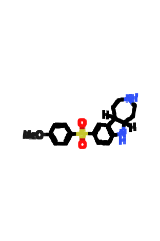 COc1ccc(S(=O)(=O)c2ccc3c(c2)[C@@H]2CCNCC[C@@H]2N3)cc1